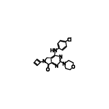 O=C1c2nc(N3CCOCC3)nc(Nc3ccc(Cl)cc3)c2CN1C1=CC=C1